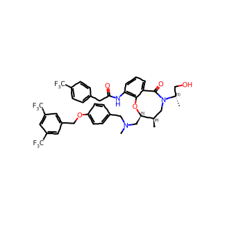 C[C@@H]1CN([C@@H](C)CO)C(=O)c2cccc(NC(=O)Cc3ccc(C(F)(F)F)cc3)c2O[C@@H]1CN(C)Cc1ccc(OCc2cc(C(F)(F)F)cc(C(F)(F)F)c2)cc1